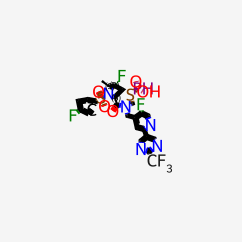 C[C@H]1[C@H](F)C[C@@H](C(=O)N(CS[PH](=O)O)Cc2cc(-c3cnc(C(F)(F)F)nc3)ncc2F)N1S(=O)(=O)c1ccc(F)cc1